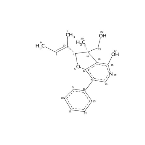 C/C=C(\C)[C@H]1Oc2c(-c3ccccc3)cnc(O)c2[C@]1(C)CO